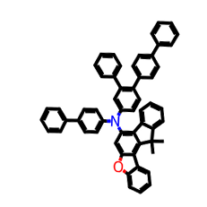 CC1(C)c2ccccc2-c2c(N(c3ccc(-c4ccccc4)cc3)c3ccc(-c4ccc(-c5ccccc5)cc4)c(-c4ccccc4)c3)cc3oc4ccccc4c3c21